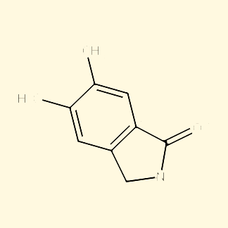 Cc1cc2c(cc1C)C(=O)NC2